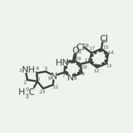 CC1(CN)CCN(c2ncc(-c3cccc(Cl)c3Cl)c(=O)[nH]2)CC1